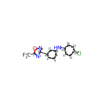 FC(F)(F)c1nc(-c2cc[c]c(Nc3ccc(Cl)cc3)c2)no1